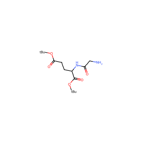 CC(C)(C)OC(=O)CCC(NC(=O)CN)C(=O)OC(C)(C)C